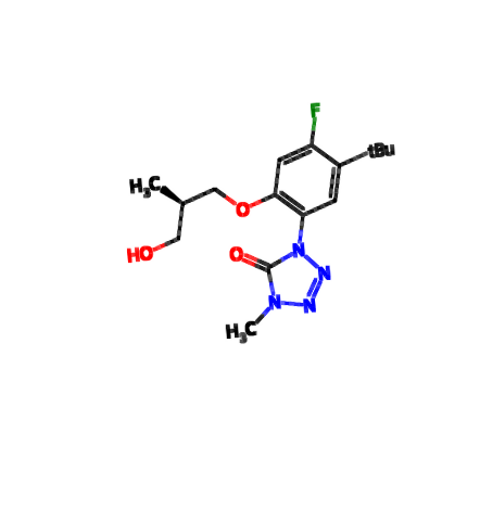 C[C@H](CO)COc1cc(F)c(C(C)(C)C)cc1-n1nnn(C)c1=O